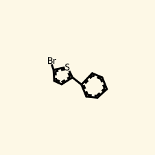 Brc1ccc(-c2ccccc2)s1